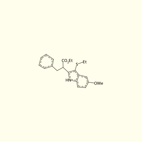 CCOC(=O)C(Cc1ccccc1)c1[nH]c2ccc(OC)cc2c1SCC